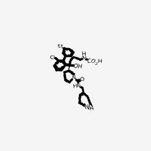 CCc1cccc(-c2c(Cl)cccc2C(O)(CCCNC(=O)O)[C@@H]2CCCN(C(=O)NCC3CCNCC3)C2)c1